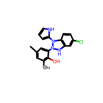 Cc1cc(N2Nc3cc(Cl)ccc3N2c2ccc[nH]2)c(O)c(C(C)(C)C)c1